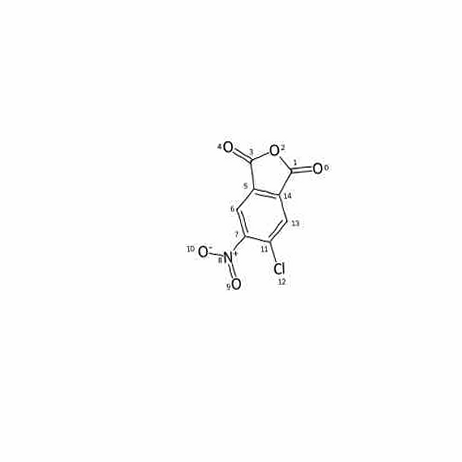 O=C1OC(=O)c2cc([N+](=O)[O-])c(Cl)cc21